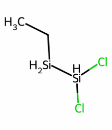 CC[SiH2][SiH](Cl)Cl